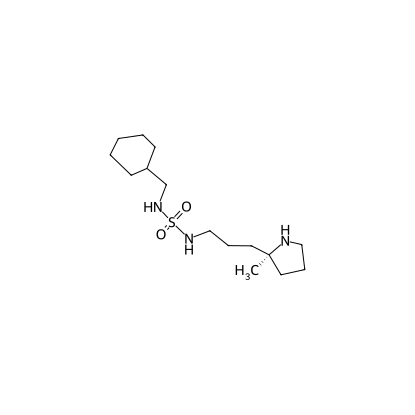 C[C@@]1(CCCNS(=O)(=O)NCC2CCCCC2)CCCN1